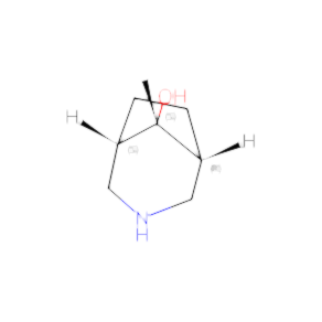 C[C@@]1(O)[C@@H]2CC[C@H]1CNC2